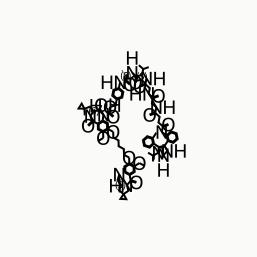 COc1cc2c(cc1OCCCCCOc1cc3c(cc1OC)C(=O)N1CC4(CC4)C[C@H]1C(O)N3C(=O)OCc1ccc(NC(=O)[C@H](C)NC(=O)[C@@H](NC(=O)CNC(=O)CNC(=O)CCC(=O)N3Cc4ccccc4C4=C(NNN4C(C)C)c4ccccc43)C(C)C)cc1)N=C[C@@H]1CC3(CC3)CN1C2=O